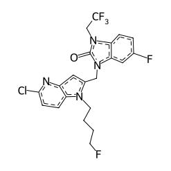 O=c1n(Cc2cc3nc(Cl)ccc3n2CCCCF)c2cc(F)ccc2n1CC(F)(F)F